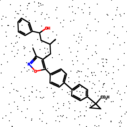 Cc1noc(-c2ccc(-c3ccc(C4(C(=O)O)CC4)cc3)cc2)c1CC(C)CC(O)c1ccccc1